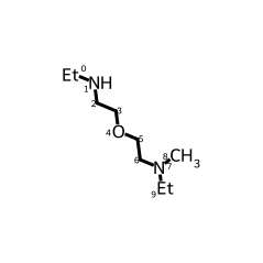 CCNCCOCCN(C)CC